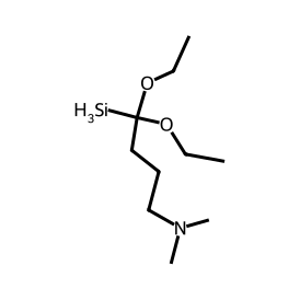 CCOC([SiH3])(CCCN(C)C)OCC